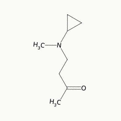 CC(=O)CCN(C)C1CC1